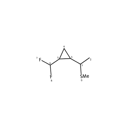 CSC(C)C1CC1C(F)F